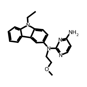 CCn1c2ccccc2c2cc(N(CCOC)c3nccc(N)n3)ccc21